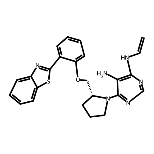 C=CNc1ncnc(N2CCC[C@@H]2COc2ccccc2-c2nc3ccccc3s2)c1N